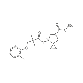 Cc1cccnc1OCC(C)(C)C(=O)N[C@H]1CN(C(=O)OC(C)(C)C)CC12CC2